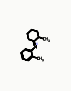 Cc1ccccc1/N=C1\CCCCC1C